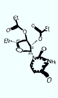 CCC(=O)OC1[C@@H](CC)O[C@@H](n2ccc(=O)[nH]c2=O)[C@H]1OC(=O)CC